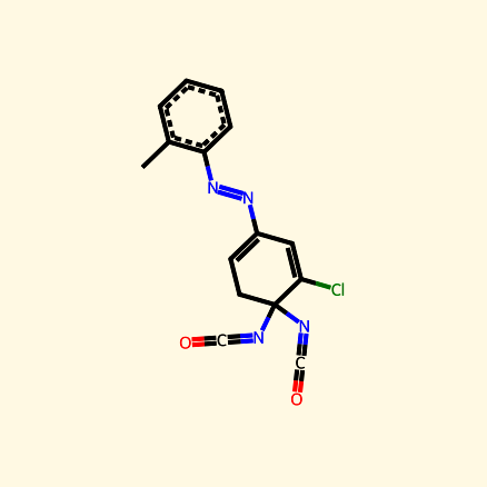 Cc1ccccc1N=NC1=CCC(N=C=O)(N=C=O)C(Cl)=C1